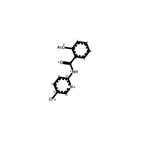 CC(=O)Oc1ccccc1C(=O)Nc1ccc(Cl)cn1